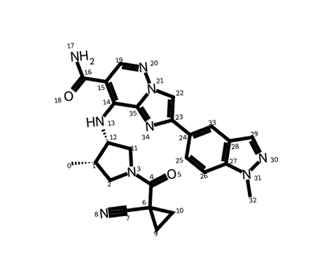 C[C@H]1CN(C(=O)C2(C#N)CC2)C[C@H]1Nc1c(C(N)=O)cnn2cc(-c3ccc4c(cnn4C)c3)nc12